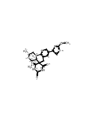 COc1nc(-c2cnc3c(c2)CC2(C(=O)NC(=O)NC2=O)[C@H]2[C@H](C)O[C@H](C)CN32)cs1